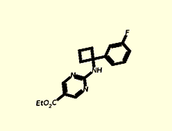 CCOC(=O)c1cnc(NC2(c3cccc(F)c3)CCC2)nc1